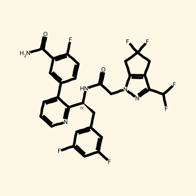 NC(=O)c1cc(-c2cccnc2[C@H](Cc2cc(F)cc(F)c2)NC(=O)Cn2nc(C(F)F)c3c2CC(F)(F)C3)ccc1F